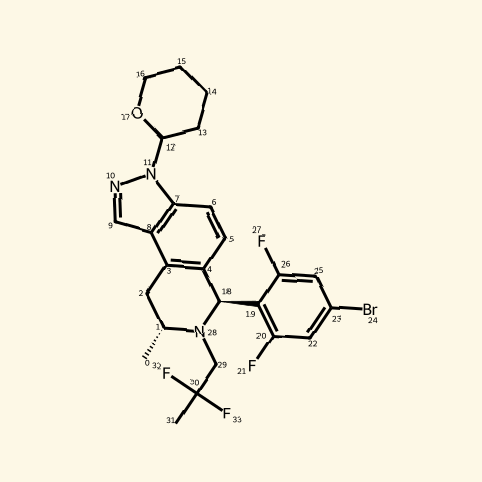 C[C@@H]1Cc2c(ccc3c2cnn3C2CCCCO2)[C@@H](c2c(F)cc(Br)cc2F)N1CC(C)(F)F